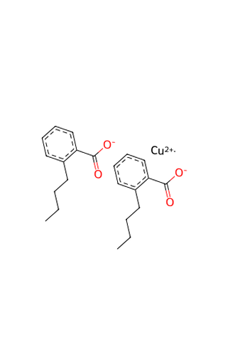 CCCCc1ccccc1C(=O)[O-].CCCCc1ccccc1C(=O)[O-].[Cu+2]